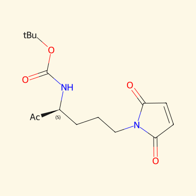 CC(=O)[C@H](CCCN1C(=O)C=CC1=O)NC(=O)OC(C)(C)C